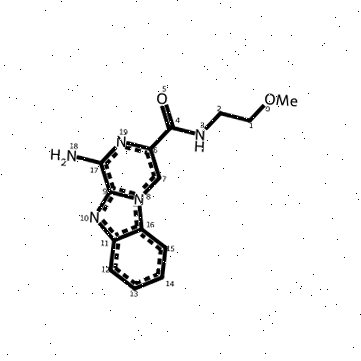 COCCNC(=O)c1cn2c(nc3ccccc32)c(N)n1